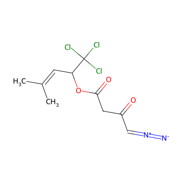 CC(C)=CC(OC(=O)CC(=O)C=[N+]=[N-])C(Cl)(Cl)Cl